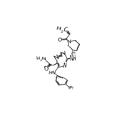 C=CC(=O)N1CCC[C@@H](Nc2nnc(C(N)=O)c(Nc3ccc(C(C)C)cc3)n2)C1